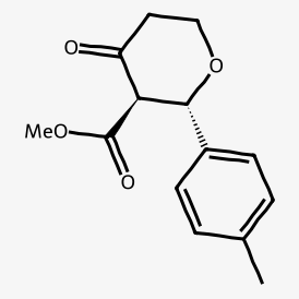 COC(=O)[C@H]1C(=O)CCO[C@@H]1c1ccc(C)cc1